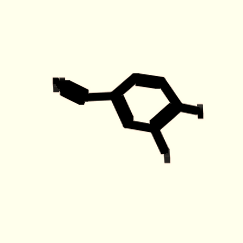 N#Cc1ccc(I)c(I)c1